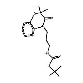 CC(C)(C)OC(=O)NCCCN1C(=O)C(C)(C)Oc2cccnc21